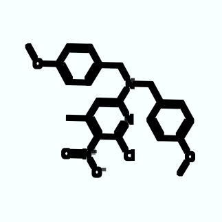 COc1ccc(CN(Cc2ccc(OC)cc2)c2cc(C)c([N+](=O)[O-])c(Cl)n2)cc1